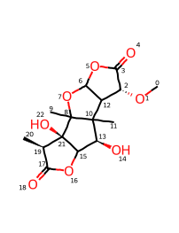 CO[C@H]1C(=O)OC2OC3(C)C(C)(C21)[C@@H](O)C1OC(=O)[C@@H](C)[C@@]13O